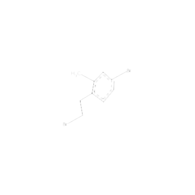 Cc1cc(Br)ccc1CCBr